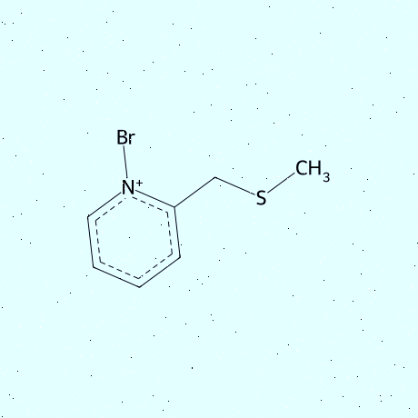 CSCc1cccc[n+]1Br